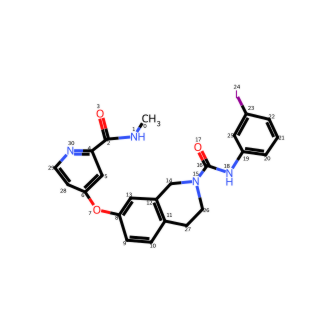 CNC(=O)c1cc(Oc2ccc3c(c2)CN(C(=O)Nc2cccc(I)c2)CC3)ccn1